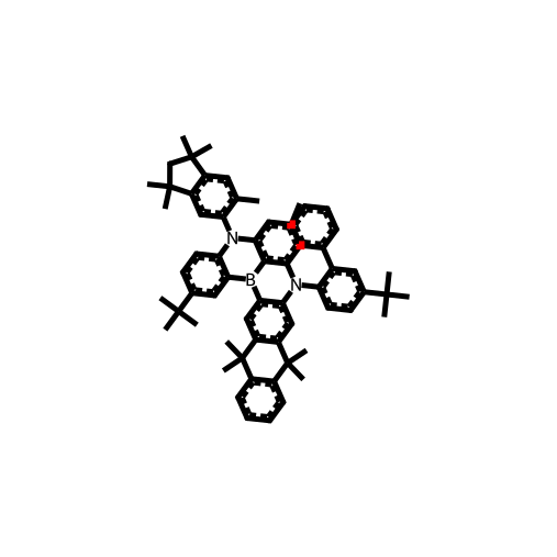 Cc1cc2c3c(c1)N(c1ccc(C(C)(C)C)cc1-c1ccccc1)c1cc4c(cc1B3c1cc(C(C)(C)C)ccc1N2c1cc2c(cc1C)C(C)(C)CC2(C)C)C(C)(C)c1ccccc1C4(C)C